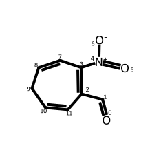 O=CC1=C([N+](=O)[O-])C=CCC=C1